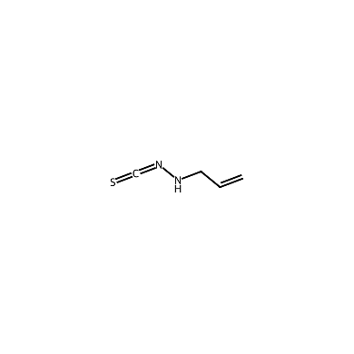 C=CCNN=C=S